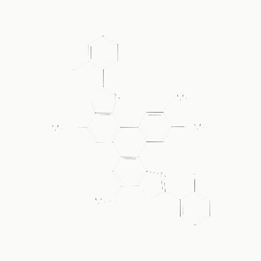 COc1cc2c(cc1OC)c1c(cc(OC)c3oc(-c4ccccc4F)nc31)c1cc(OC)c3oc(-c4ccccc4F)nc3c21